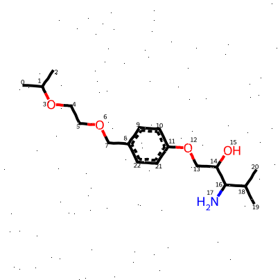 CC(C)OCCOCc1ccc(OCC(O)C(N)C(C)C)cc1